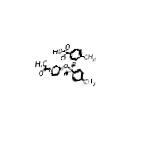 CC(=O)N1CC[C@@H](OS(=O)(=O)c2ccc(C)cc2)C1.Cc1ccc(S(=O)(=O)O)cc1